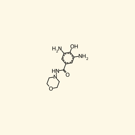 Nc1cc(C(=O)NN2CCOCC2)cc(N)c1O